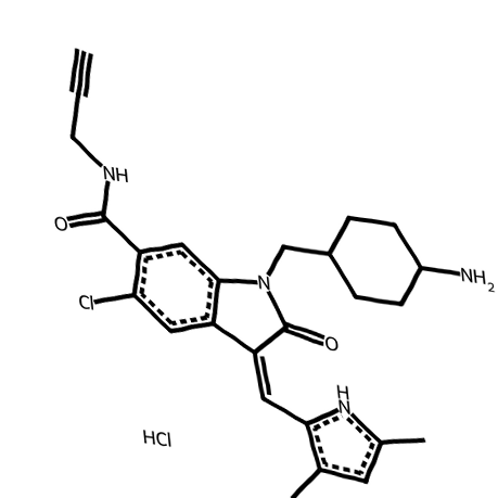 C#CCNC(=O)c1cc2c(cc1Cl)/C(=C/c1[nH]c(C)cc1C)C(=O)N2CC1CCC(N)CC1.Cl